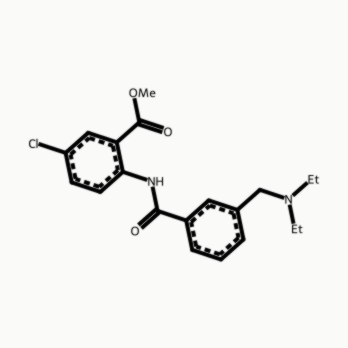 CCN(CC)Cc1cccc(C(=O)Nc2ccc(Cl)cc2C(=O)OC)c1